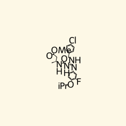 COC(=O)C[C@H](C)NC(=O)N/C(=N\c1ccc(OC(C)C)c(F)c1)NCc1ccc(Cl)cc1